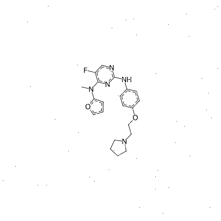 CN(c1ccco1)c1nc(Nc2ccc(OCCN3CCCC3)cc2)ncc1F